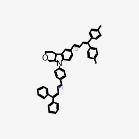 Cc1ccc(C(=C/C=C/c2ccc3c(c2)C2CCOCC2N3c2ccc(/C=C/C=C(c3ccccc3)c3ccccc3)cc2)c2ccc(C)cc2)cc1